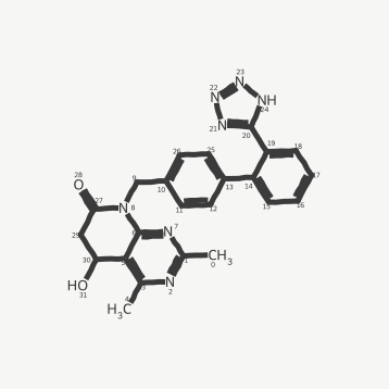 Cc1nc(C)c2c(n1)N(Cc1ccc(-c3ccccc3-c3nnn[nH]3)cc1)C(=O)CC2O